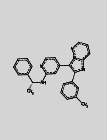 Cc1cccc(-c2nc3cccnn3c2-c2ccnc(N[C@H](C)c3ccccc3)c2)c1